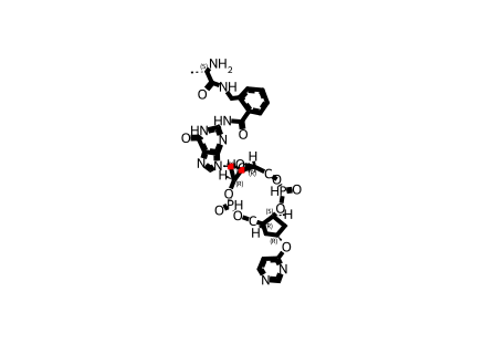 C[C@H](N)C(=O)NCc1ccccc1C(=O)Nc1nc2c(ncn2[C@@H]2O[C@@H]3CO[PH](=O)O[C@H]4C[C@H](Oc5ccncn5)C[C@@H]4CO[PH](=O)O[C@@H]2[C@@H]3O)c(=O)[nH]1